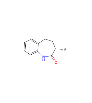 CCCC1CCc2ccccc2NC1=O